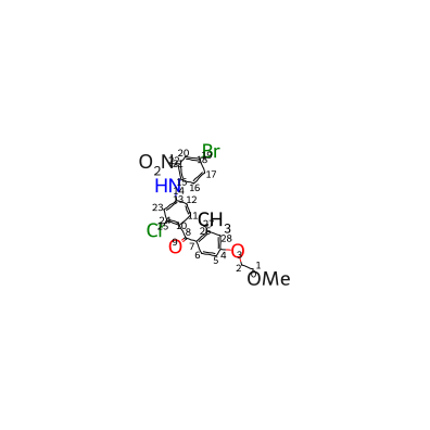 COCCOc1ccc(C(=O)c2ccc(Nc3ccc(Br)cc3[N+](=O)[O-])cc2Cl)c(C)c1